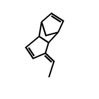 CC=C1C=CC2C3C=CC(C3)C12